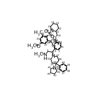 CNCC(c1ccnc(OCC2CCCCN2S(=O)(=O)c2c(C)cc(OC)cc2C)n1)N1CCC(c2ccccc2)(N2CCCC2)CC1